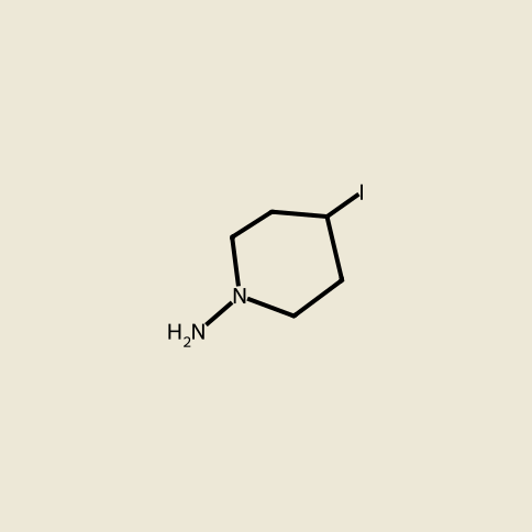 NN1CCC(I)CC1